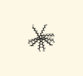 CCCCCCCCC1=C(CCCCCCCC)[N+](CCCCCCCC)(CCCCCCCC)C(CCCCCCCC)(CCCCCCCC)C(CCCCCCCC)(CCCCCCCC)C1CCCCCCCC